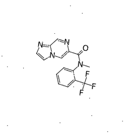 CN(C(=O)c1cn2ccnc2cn1)c1ccccc1C(F)(F)F